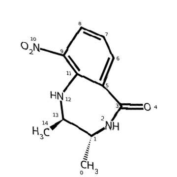 C[C@H]1NC(=O)c2cccc([N+](=O)[O-])c2N[C@@H]1C